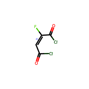 O=C(Cl)/C=C(/F)C(=O)Cl